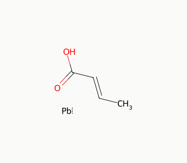 C/C=C/C(=O)O.[Pb]